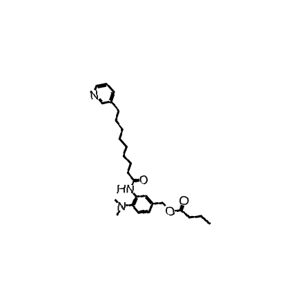 CCCC(=O)OCc1ccc(N(C)C)c(NC(=O)CCCCCCCCc2cccnc2)c1